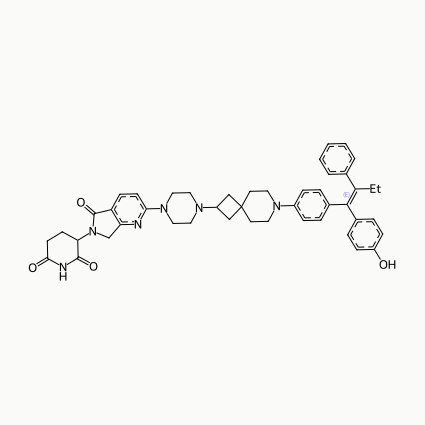 CC/C(=C(\c1ccc(O)cc1)c1ccc(N2CCC3(CC2)CC(N2CCN(c4ccc5c(n4)CN(C4CCC(=O)NC4=O)C5=O)CC2)C3)cc1)c1ccccc1